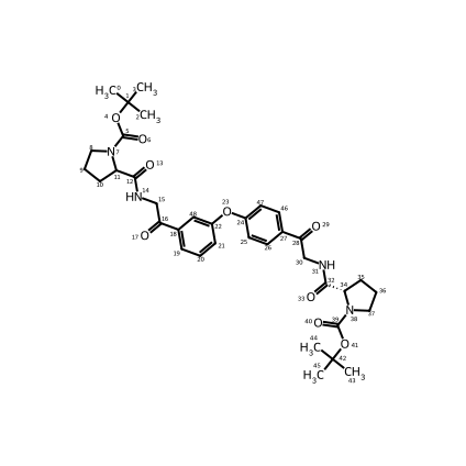 CC(C)(C)OC(=O)N1CCCC1C(=O)NCC(=O)c1cccc(Oc2ccc(C(=O)CNC(=O)[C@@H]3CCCN3C(=O)OC(C)(C)C)cc2)c1